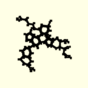 C=CC(=O)N1Cc2cc(-c3nc(-c4cnc5c(c4)CN(C)CC5)c4ccsc4c3-c3c(F)cc(F)cc3OCCOC)nn2CC1C